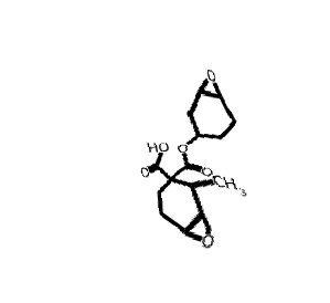 CC1C2OC2CCC1(C(=O)O)C(=O)OC1CCC2OC2C1